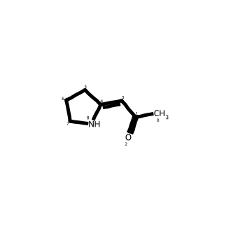 CC(=O)C=C1CCCN1